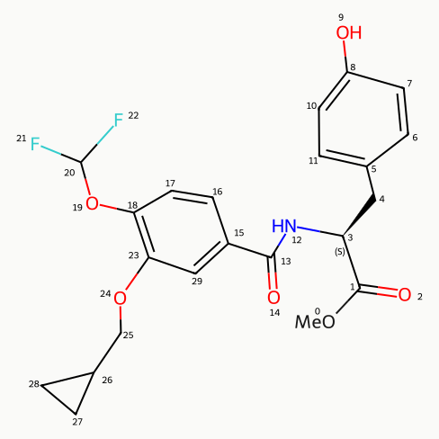 COC(=O)[C@H](Cc1ccc(O)cc1)NC(=O)c1ccc(OC(F)F)c(OCC2CC2)c1